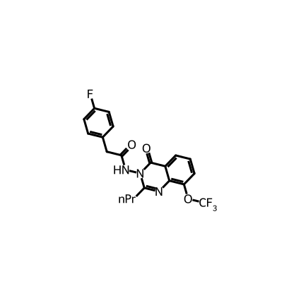 CCCc1nc2c(OC(F)(F)F)cccc2c(=O)n1NC(=O)Cc1ccc(F)cc1